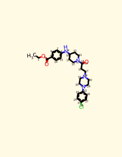 CCOC(=O)c1ccc(NC2CCN(C(=O)CCN3CCN(c4ccc(Cl)cc4)CC3)CC2)cc1